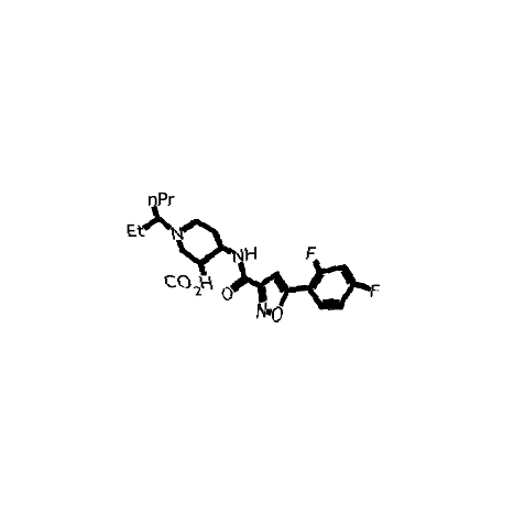 CCCC(CC)N1CCC(NC(=O)c2cc(-c3ccc(F)cc3F)on2)C(C(=O)O)C1